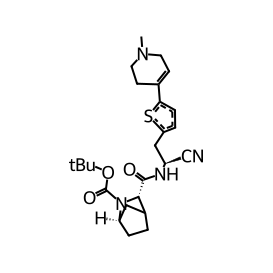 CN1CC=C(c2ccc(C[C@@H](C#N)NC(=O)[C@@H]3C4CC[C@H](C4)N3C(=O)OC(C)(C)C)s2)CC1